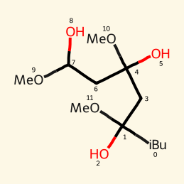 CCC(C)C(O)(CC(O)(CC(O)OC)OC)OC